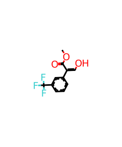 COC(=O)C(=CO)c1cccc(C(F)(F)F)c1